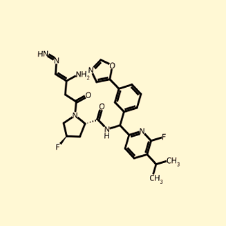 CC(C)c1ccc(C(NC(=O)[C@@H]2C[C@@H](F)CN2C(=O)C/C(N)=C/N=N)c2cccc(-c3cnco3)c2)nc1F